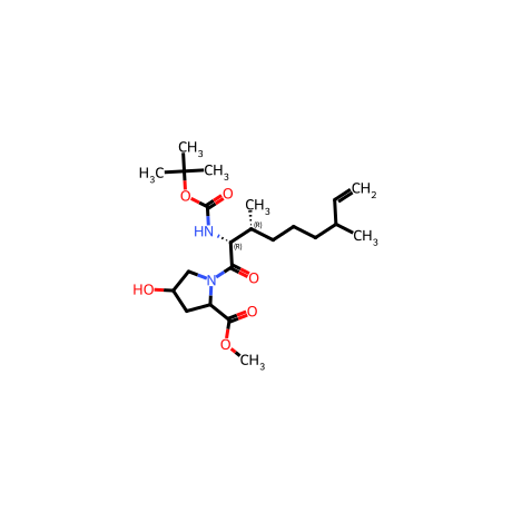 C=CC(C)CCC[C@@H](C)[C@@H](NC(=O)OC(C)(C)C)C(=O)N1CC(O)CC1C(=O)OC